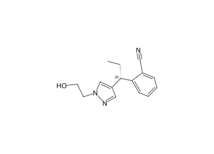 CC[C@@H](c1cnn(CCO)c1)c1ccccc1C#N